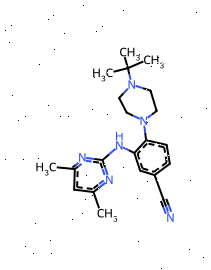 Cc1cc(C)nc(Nc2cc(C#N)ccc2N2CCN(C(C)(C)C)CC2)n1